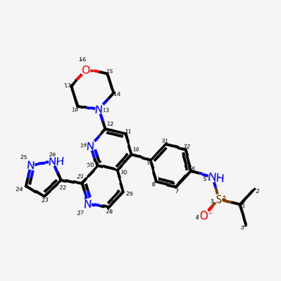 CC(C)[S+]([O-])Nc1ccc(-c2cc(N3CCOCC3)nc3c(-c4ccn[nH]4)nccc23)cc1